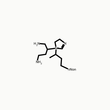 CCCCCCCCCCCC(C)[N+]1(C(CN)CCN)C=NCC1